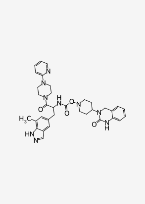 Cc1cc(CC(NC(=O)ON2CCC(N3Cc4ccccc4NC3=O)CC2)C(=O)N2CCN(c3ccccn3)CC2)cc2cn[nH]c12